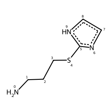 NCCCSc1ncc[nH]1